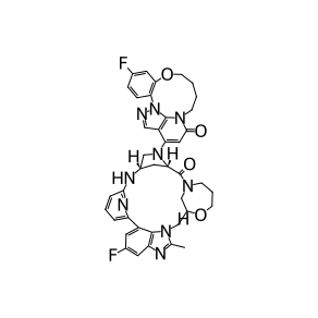 Cc1nc2cc(F)cc3c2n1C[C@H]1CN(CCCO1)C(=O)[C@@H]1C[C@@H](CN1c1cc(=O)n2c4c1cnn4-c1ccc(F)cc1OCCCC2)Nc1cccc-3n1